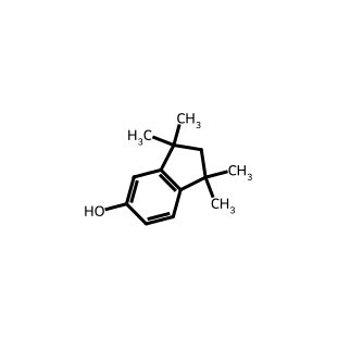 CC1(C)CC(C)(C)c2cc(O)ccc21